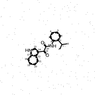 CC(C)c1ccccc1NC(=O)C(=O)c1c[nH]c2ccccc12